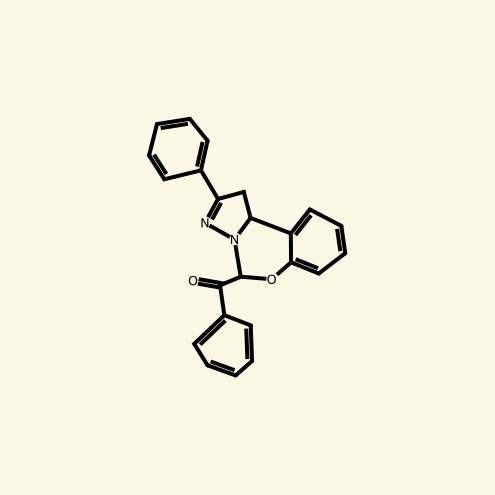 O=C(c1ccccc1)C1Oc2ccccc2C2CC(c3ccccc3)=NN12